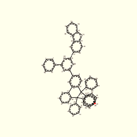 c1ccc(-c2nc(-c3ccc4c(c3)-c3ccccc3C(c3ccccc3)(c3ccccc3)C4(c3ccccc3)c3ccccc3)nc(-c3ccc4sc5ccccc5c4c3)n2)cc1